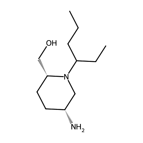 CCCC(CC)N1C[C@H](N)CC[C@@H]1CO